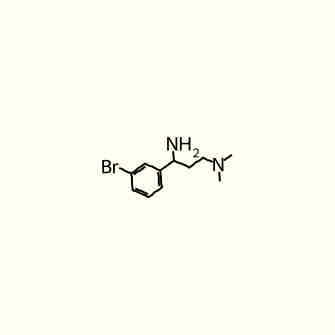 CN(C)CCC(N)c1cccc(Br)c1